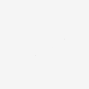 CC=C(C(=O)OC)c1sc2ccccc2c1CBr